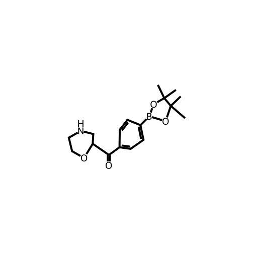 CC1(C)OB(c2ccc(C(=O)C3CNCCO3)cc2)OC1(C)C